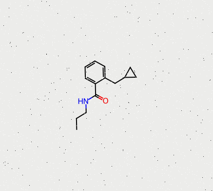 CCCNC(=O)c1ccccc1CC1CC1